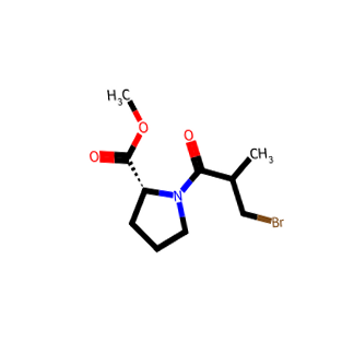 COC(=O)[C@H]1CCCN1C(=O)C(C)CBr